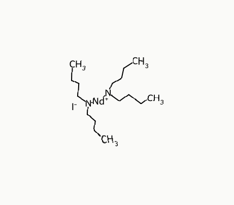 CCCC[N](CCCC)[Nd+][N](CCCC)CCCC.[I-]